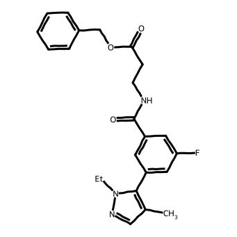 CCn1ncc(C)c1-c1cc(F)cc(C(=O)NCCC(=O)OCc2ccccc2)c1